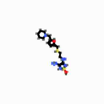 Nc1n[s+]([O-])nc1NCCSCc1ccc(CN2CCCCC2)o1